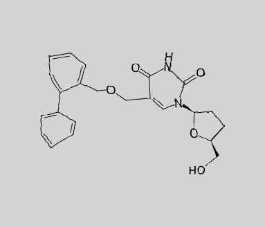 O=c1[nH]c(=O)n([C@H]2CC[C@@H](CO)O2)cc1COCc1ccccc1-c1ccccc1